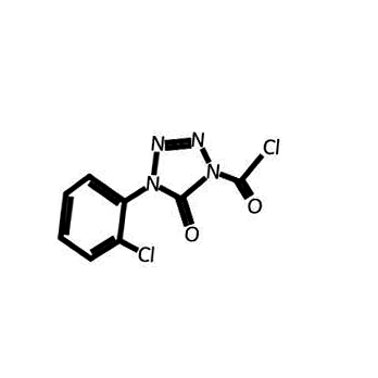 O=C(Cl)n1nnn(-c2ccccc2Cl)c1=O